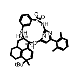 Cc1cccc(C)c1-c1cc2nc(n1)NS(=O)(=O)c1cccc(c1)N[C@@H]1CC3CCCC4=C3C(C)(C=CC4(C)C(C)(C)C)[C@H]1O2